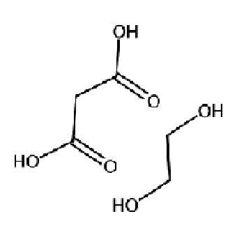 O=C(O)CC(=O)O.OCCO